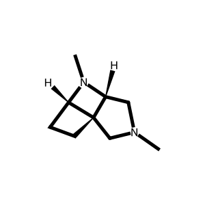 CN1C[C@H]2N(C)[C@H]3CC[C@@]32C1